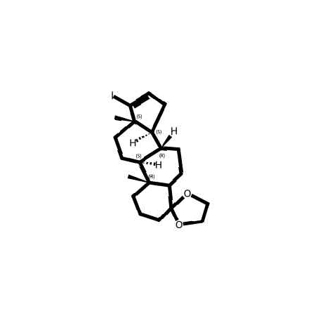 C[C@]12CCCC3(OCCO3)C1CC[C@@H]1[C@@H]2CC[C@]2(C)C(I)=CC[C@@H]12